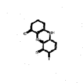 O=C1CCCC2=C1[N+]=C1C(=O)C(I)CCC1N2